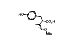 CCCCO/N=C(/C)C(Cc1ccc(O)cc1)C(=O)O